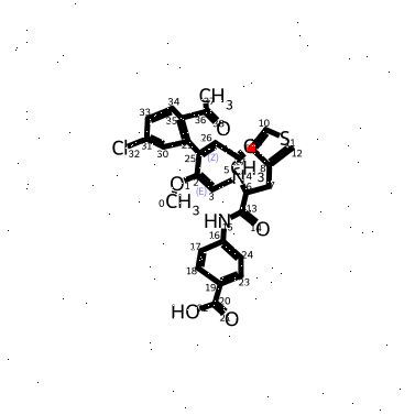 COC(=C/N(C)C(Cc1ccsc1)C(=O)Nc1ccc(C(=O)O)cc1)/C(=C\C=O)c1cc(Cl)ccc1C(C)=O